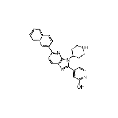 Oc1cc(-c2nc3ccc(-c4ccc5ccccc5c4)nc3n2C2CCNCC2)ccn1